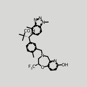 Cc1ccc([C@@H](c2ccc3c(nnn3C)c2C)C(C)(C)C(=O)O)cc1CN1Cc2nc(O)ccc2O[C@@H](C(F)(F)F)C1